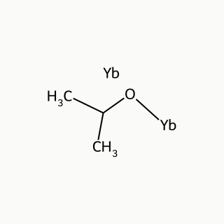 CC(C)[O][Yb].[Yb]